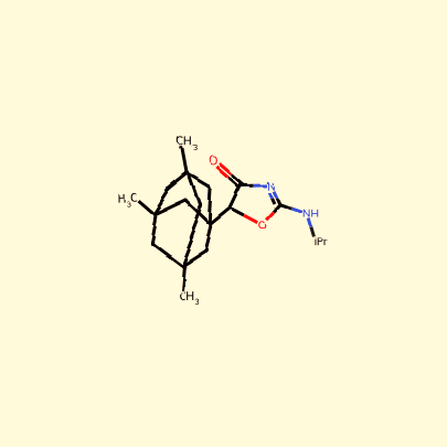 CC(C)NC1=NC(=O)C(C23CC4(C)CC(C)(CC(C)(C4)C2)C3)O1